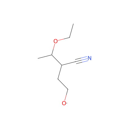 CCOC(C)C(C#N)CC[O]